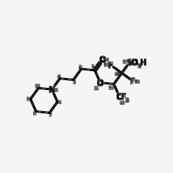 O=C(CCCN1CCCCC1)OC(C(F)(F)F)C(F)(F)S(=O)(=O)O